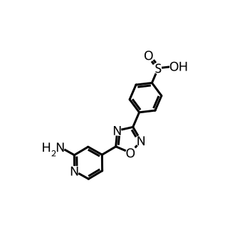 Nc1cc(-c2nc(-c3ccc(S(=O)O)cc3)no2)ccn1